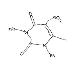 CCCn1c(=O)c([N+](=O)[O-])c(C)n(CC)c1=O